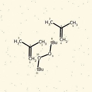 C=C(C)C.C=C(C)C.CC(C)(C)OOC(C)(C)C